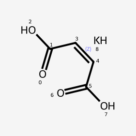 O=C(O)/C=C\C(=O)O.[KH]